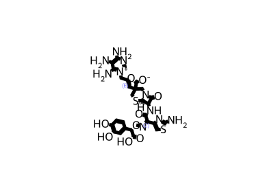 Nc1nc(/C(=N/OC(C(=O)O)c2ccc(O)c(O)c2)C(=O)NC2C(=O)N3CC(/C=C/C[n+]4cnc(N)c(N)c4N)(C(=O)[O-])CS[C@H]23)cs1